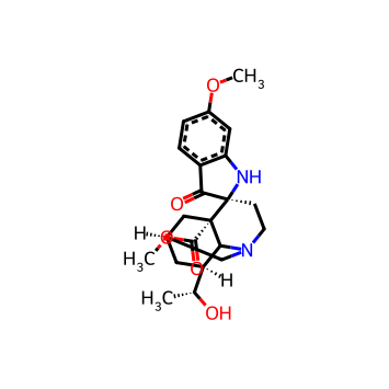 COC(=O)[C@@]12C[C@@H]3C[C@H]([C@@H](C)O)C1N(CC[C@]21Nc2cc(OC)ccc2C1=O)C3